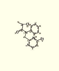 CCc1ccnc(CN(C(=O)C(C)Cl)c2ccccc2)n1